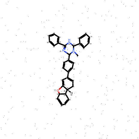 CN1C(c2ccc(C3=CC[C@H]4C(=C3)OC3C=CC=CC34)cc2)N=C(c2ccccc2)NC1c1ccccc1